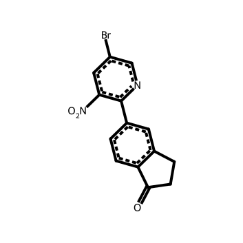 O=C1CCc2cc(-c3ncc(Br)cc3[N+](=O)[O-])ccc21